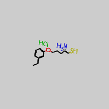 CCc1cccc(OCCC[C@H](N)CS)c1.Cl